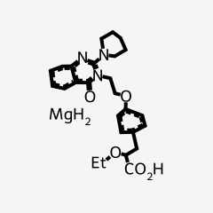 CCOC(Cc1ccc(OCCn2c(N3CCCCC3)nc3ccccc3c2=O)cc1)C(=O)O.[MgH2]